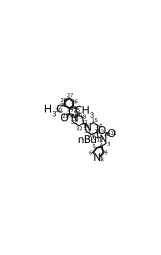 CCCCC1N(Cc2ccncc2)C(=O)OC12CCN(C1CCN(C(=O)c3c(C)cccc3C)CC1)CC2